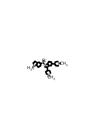 CN1CC=C(c2ccc3c(c2)c(C2=CCN(C)CC2)cn3[S+]([O-])c2ccc3c(ccn3C)c2)CC1